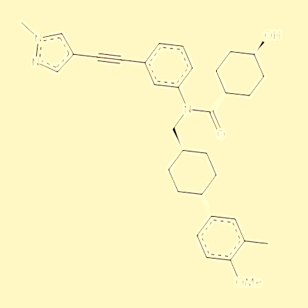 COc1ccc([C@H]2CC[C@H](CN(c3cccc(C#Cc4cnn(C)c4)c3)C(=O)[C@H]3CC[C@H](O)CC3)CC2)cc1C